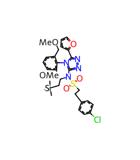 COCc1cccc(OC)c1-n1c(-c2ccco2)nnc1N(CC[Si](C)(C)C)S(=O)(=O)CCc1ccc(Cl)cc1